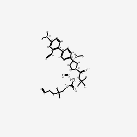 C=CCCC(C)(C)COC(=O)N[C@H](C(=O)N1C[C@](OC)(c2ccc(-c3ccc(N(C)C)cc3C=C)cc2)C[C@H]1C=O)C(C)(C)C